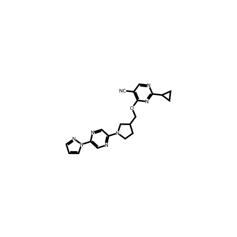 N#Cc1cnc(C2CC2)nc1OCC1CCN(c2cnc(-n3cccn3)cn2)C1